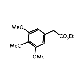 CCOC(=O)Cc1cc(OC)c(OC)c(OC)c1